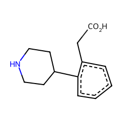 O=C(O)Cc1ccccc1C1CCNCC1